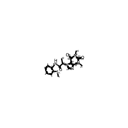 CSc1ccccc1NC(=O)C(C)n1cnc2c1c(=O)n(C)c(=O)n2C